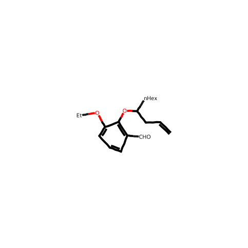 C=CCC(CCCCCC)Oc1c(C=O)cccc1OCC